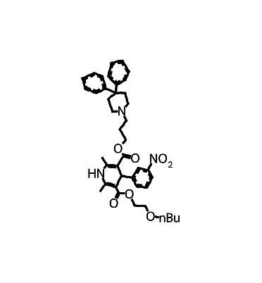 CCCCOCCOC(=O)C1=C(C)NC(C)=C(C(=O)OCCCN2CCC(c3ccccc3)(c3ccccc3)CC2)C1c1cccc([N+](=O)[O-])c1